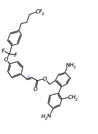 [CH2]c1cc(N)ccc1-c1ccc(N)cc1COC(=O)/C=C/c1ccc(OC(F)(F)c2ccc(CCCC(F)(F)F)cc2)cc1